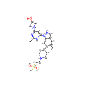 Cc1nc(N2CC(O)C2)cc(-n2ncc3cc(C)c(C4CCN(CCS(C)(=O)=O)CC4)cc32)n1